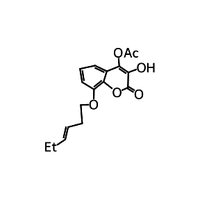 CC/C=C/CCOc1cccc2c(OC(C)=O)c(O)c(=O)oc12